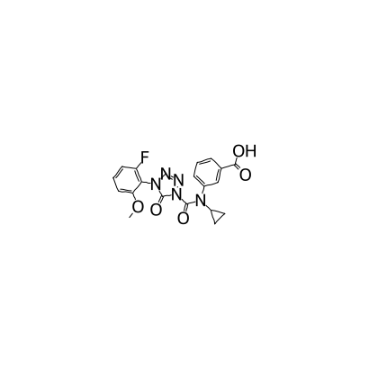 COc1cccc(F)c1-n1nnn(C(=O)N(c2cccc(C(=O)O)c2)C2CC2)c1=O